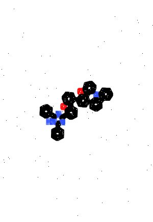 c1ccc(C2=NC(c3cccc4c3oc3cccc(-c5cccc6c5oc5cccc(-n7c8ccccc8c8ccccc87)c56)c34)=NC(c3ccccc3)N2)cc1